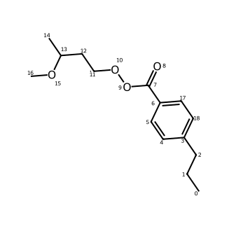 CCCc1ccc(C(=O)OO[CH]CC(C)OC)cc1